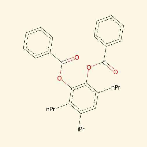 CCCc1cc(C(C)C)c(CCC)c(OC(=O)c2ccccc2)c1OC(=O)c1ccccc1